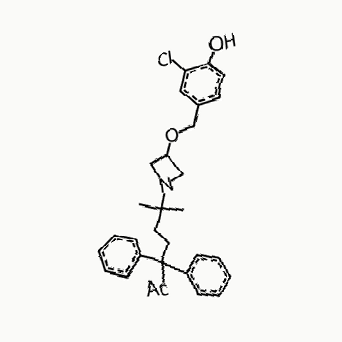 CC(=O)C(CCC(C)(C)N1CC(OCc2ccc(O)c(Cl)c2)C1)(c1ccccc1)c1ccccc1